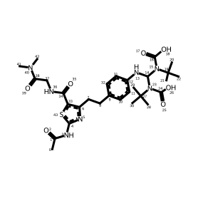 CC(=O)Nc1nc(CCc2ccc(NC(N(C(=O)O)C(C)(C)C)N(C(=O)O)C(C)(C)C)cc2)c(C(=O)NCC(=O)N(C)C)s1